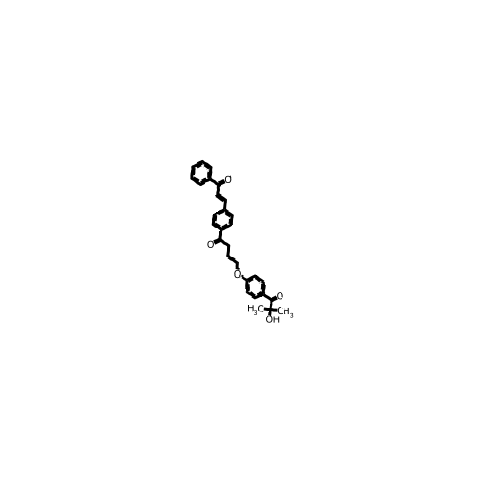 CC(C)(O)C(=O)c1ccc(OCCCC(=O)c2ccc(/C=C/C(=O)c3ccccc3)cc2)cc1